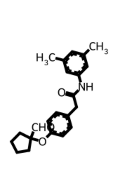 Cc1cc(C)cc(NC(=O)Cc2ccc(OC3(C=O)CCCC3)cc2)c1